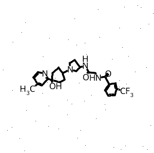 Cc1ccnc(C2(O)CCC(N3CCC(NC(=O)CNC(=O)c4cccc(C(F)(F)F)c4)C3)CC2)c1